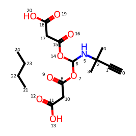 C#CC(C)(C)NC(OC(=O)CC(=O)O)OC(=O)CC(=O)O.CCCC